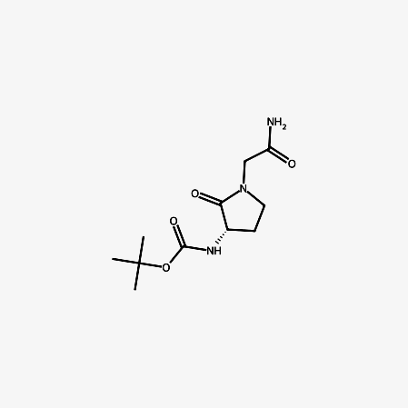 CC(C)(C)OC(=O)N[C@H]1CCN(CC(N)=O)C1=O